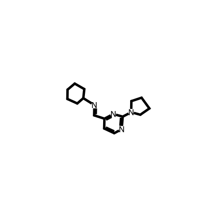 C(=N\C1CCCCC1)/c1ccnc(N2CCCC2)n1